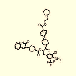 Nc1c(Cl)cc(C[C@@H](OC(=O)N2CCC(c3cc4ccccc4[nH]c3=O)CC2)C(=O)N2CCN(c3ccc(C(=O)OCCN4CCCCC4)cc3)CC2)cc1C(F)(F)F